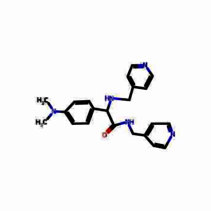 CN(C)c1ccc(C(NCc2ccncc2)C(=O)NCc2ccncc2)cc1